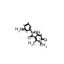 Cc1c2c(=O)n(-c3cccc(N)c3)[nH]c2cc(=O)n1C